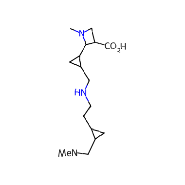 CNCC1CC1CCNCC1CC1C1C(C(=O)O)CN1C